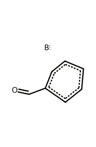 O=Cc1ccccc1.[B]